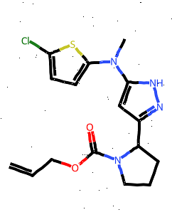 C=CCOC(=O)N1CCCC1c1cc(N(C)c2ccc(Cl)s2)[nH]n1